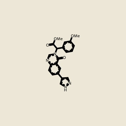 COC(=O)C(c1cccc(OC)c1)n1cnc2ccc(-c3cn[nH]c3)cc2c1=O